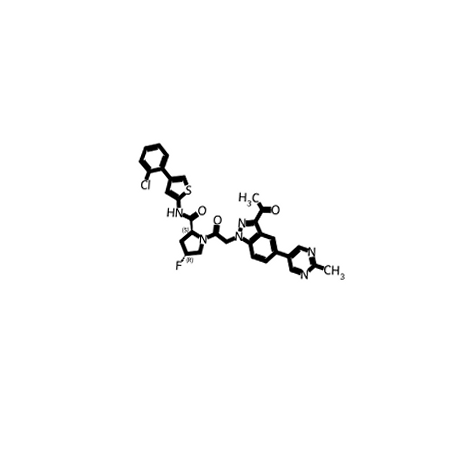 CC(=O)c1nn(CC(=O)N2C[C@H](F)C[C@H]2C(=O)Nc2cc(-c3ccccc3Cl)cs2)c2ccc(-c3cnc(C)nc3)cc12